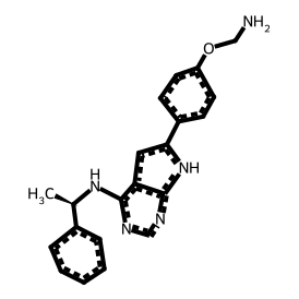 C[C@@H](Nc1ncnc2[nH]c(-c3ccc(OCN)cc3)cc12)c1ccccc1